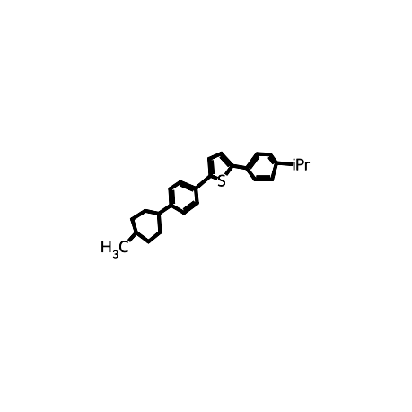 CC1CCC(c2ccc(-c3ccc(-c4ccc(C(C)C)cc4)s3)cc2)CC1